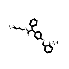 C=CCCOC(=O)C(c1ccccc1)c1ccc(SCc2ccccc2C(=O)O)cc1